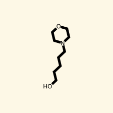 OC[CH]CCCN1CCOCC1